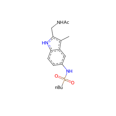 CCCCS(=O)(=O)Nc1ccc2[nH]c(CNC(C)=O)c(C)c2c1